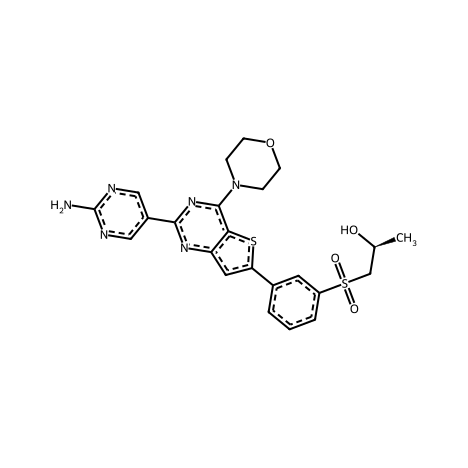 C[C@H](O)CS(=O)(=O)c1cccc(-c2cc3nc(-c4cnc(N)nc4)nc(N4CCOCC4)c3s2)c1